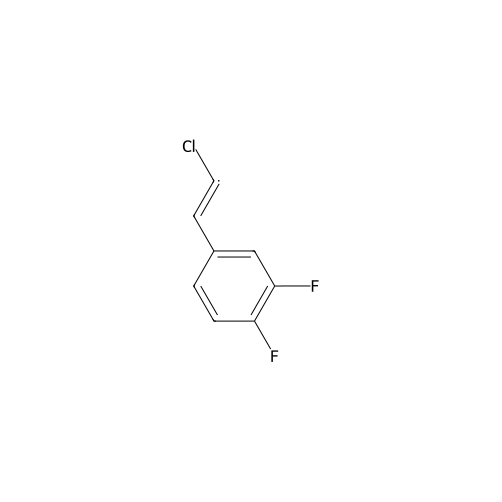 Fc1ccc(C=[C]Cl)cc1F